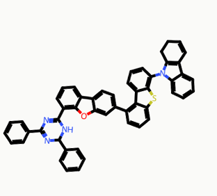 C1=Cc2c(n(-c3cccc4c3sc3cccc(-c5ccc6c(c5)oc5c(C7=NC(c8ccccc8)=NC(c8ccccc8)N7)cccc56)c34)c3ccccc23)CC1